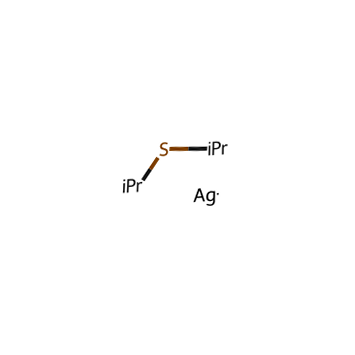 CC(C)SC(C)C.[Ag]